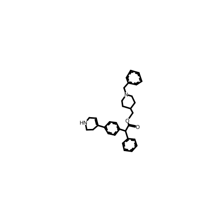 O=C(OCC1CCN(Cc2ccccc2)CC1)C(c1ccccc1)c1ccc(C2=CCNCC2)cc1